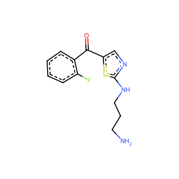 NCCCNc1ncc(C(=O)c2ccccc2F)s1